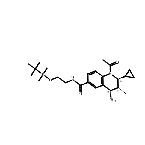 CC(=O)N1c2ccc(C(=O)NCCO[Si](C)(C)C(C)(C)C)cc2[C@H](N)[C@@H](C)[C@@H]1C1CC1